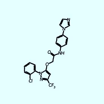 O=C(COc1cc(C(F)(F)F)nn1-c1ccccc1Cl)Nc1ccc(-n2ccnc2)cc1